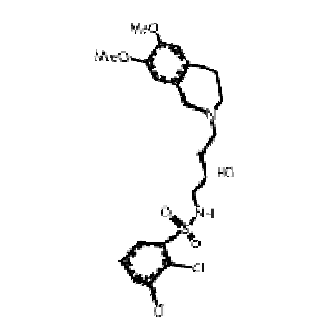 COc1cc2c(cc1OC)CN(CCCCNS(=O)(=O)c1cccc(Cl)c1Cl)CC2.Cl